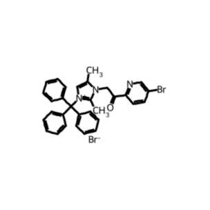 Cc1c[n+](C(c2ccccc2)(c2ccccc2)c2ccccc2)c(C)n1CC(=O)c1ccc(Br)cn1.[Br-]